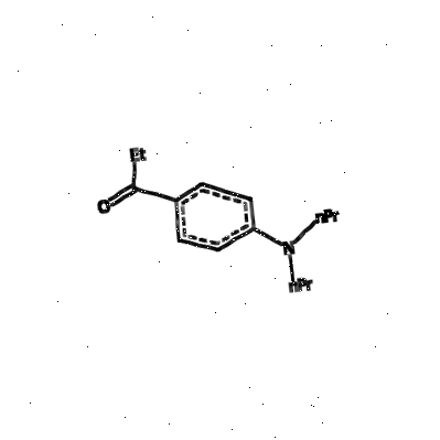 CCCN(CCC)c1ccc(C(=O)CC)cc1